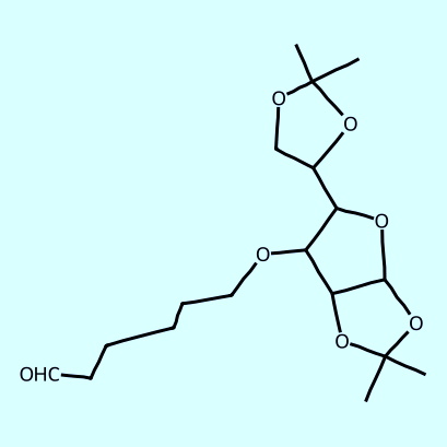 CC1(C)OCC(C2OC3OC(C)(C)OC3C2OCCCCCC=O)O1